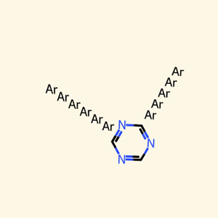 [Ar].[Ar].[Ar].[Ar].[Ar].[Ar].[Ar].[Ar].[Ar].[Ar].[Ar].c1ncncn1